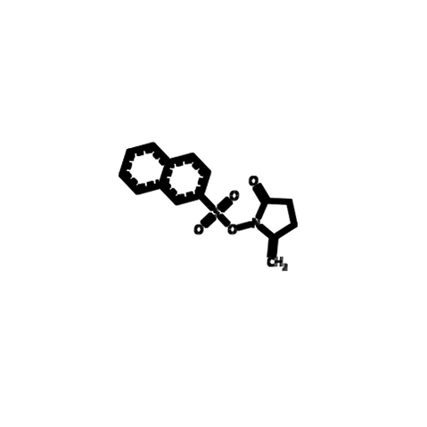 C=C1CCC(=O)N1OS(=O)(=O)c1ccc2ccccc2c1